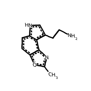 Cc1nc2c(ccc3[nH]cc(CCN)c32)o1